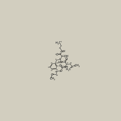 CCCNC(=O)C(O)C(Cc1ccccc1)NC(=O)C(CC(C)C)NC(=O)OCCOC